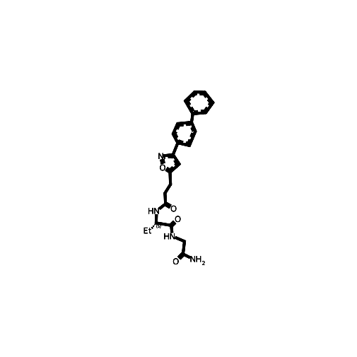 CC[C@H](NC(=O)CCc1cc(-c2ccc(-c3ccccc3)cc2)no1)C(=O)NCC(N)=O